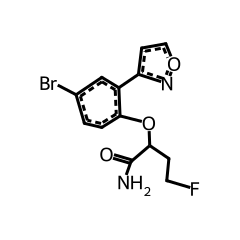 NC(=O)C(CCF)Oc1ccc(Br)cc1-c1ccon1